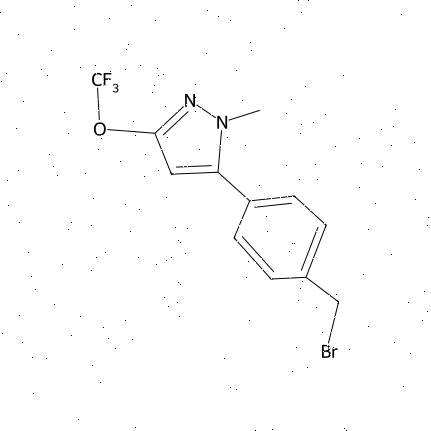 Cn1nc(OC(F)(F)F)cc1-c1ccc(CBr)cc1